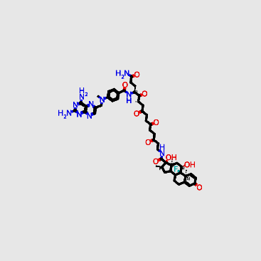 C[C@@H]1CC2C3CCC4=CC(=O)C=C[C@]4(C)C3(F)[C@@H](O)C[C@]2(C)C1(O)C(=O)NCCC(=O)CCC(=O)CCC(=O)C[CH]C(=O)[C@H](CCC(N)=O)NC(=O)c1ccc(N(C)Cc2cnc3nc(N)nc(N)c3n2)cc1